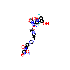 CCc1c(F)ccc2cc(O)cc(-c3ncc4c(N5CCOC[C@@](C)(O)C5)nc(OCC5(CN6CCC7(CC6)CC(CN6CCN(c8ccc9c(c8)CN([C@H]8CCC(=O)NC8=O)C9=O)CC6)C7)CC5)nc4c3F)c12